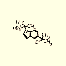 CCCCC(C)(C)n1ccc2cc(C(C)(C)CC)ccc21